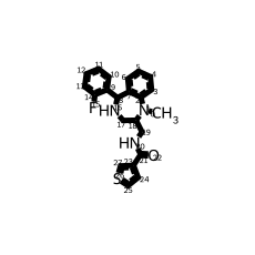 CN1c2ccccc2C(c2ccccc2F)NCC1CNC(=O)c1ccsc1